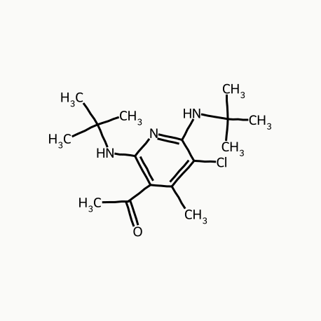 CC(=O)c1c(NC(C)(C)C)nc(NC(C)(C)C)c(Cl)c1C